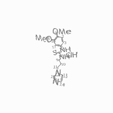 COc1ccc(NC(=S)NCCCn2ccnc2)cc1OC.Cl